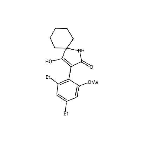 CCc1cc(CC)c(C2=C(O)C3(CCCCC3)NC2=O)c(OC)c1